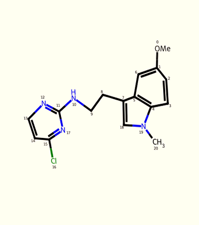 COc1ccc2c(c1)c(CCNc1nccc(Cl)n1)cn2C